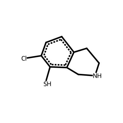 Sc1c(Cl)ccc2c1CNCC2